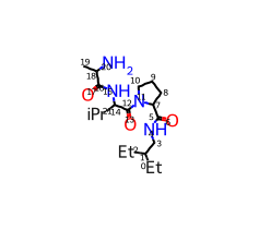 CCC(CC)CNC(=O)C1CCCN1C(=O)C(NC(=O)C(C)N)C(C)C